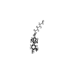 CCCCCCCC#Cc1cnc(-c2ccc(F)c(F)c2)nc1